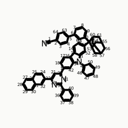 N#Cc1ccc(-c2cccc(C3(c4ccc5c6ccc(-c7cc(-c8ccc9ccccc9c8)nc(-c8ccccc8)n7)cc6n(-c6ccccc6)c5c4)C4CC5CC(C4)CC3C5)c2)cc1